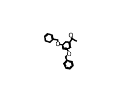 CC(=O)C1=CC(OCc2ccccc2)=CC(OCC2=CC=CCC2)C1